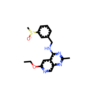 CCOc1cc2c(NCc3cccc([S+](C)[O-])c3)nc(C)nc2cn1